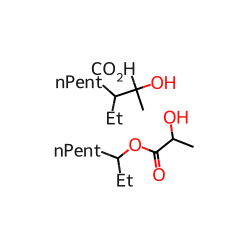 CCCCCC(CC)C(C)(O)C(=O)O.CCCCCC(CC)OC(=O)C(C)O